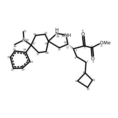 COC(=O)C(=O)C(CCC1CCC1)[C@@H]1CC2(CCC(c3ccccc3)(N(C)C)CC2)NN1